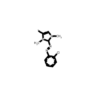 CN1C=C(I)N(C)C1N=Nc1ccccc1Cl